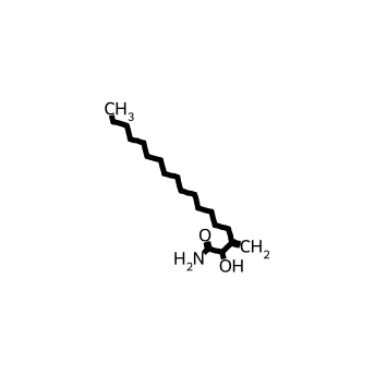 C=C(CCCCCCCCCCCCCCC)C(O)C(N)=O